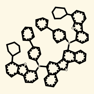 c1ccc(-c2ccc(N(c3cc4c5cc(N(c6ccc(-c7ccccc7)cc6)c6cccc7c6oc6c(C8CCCCC8)cccc67)c6ccccc6c5oc4c4ccccc34)c3cccc4c3oc3c(C5CCCCC5)cccc34)cc2)cc1